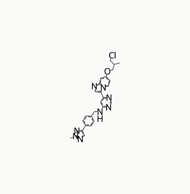 CC(CCl)COc1ccn2c(-c3cc(NCc4ccc(-c5cnn(C)n5)cc4)ncn3)cnc2c1